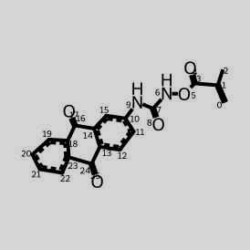 C=C(C)C(=O)ONC(=O)Nc1ccc2c(c1)C(=O)c1ccccc1C2=O